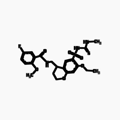 CCOc1cc2c(cc1S(=O)(=O)NC(=S)NC)C(CNC(=O)c1cc(F)ccc1OC)CCO2